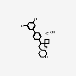 Cl.Cl.OC1(C(CN2CCNCC2)c2ccc(-c3cc(Cl)cc(Cl)c3)cc2)CCC1